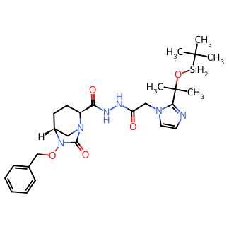 CC(C)(C)[SiH2]OC(C)(C)c1nccn1CC(=O)NNC(=O)[C@@H]1CC[C@@H]2CN1C(=O)N2OCc1ccccc1